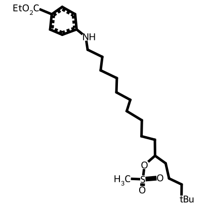 CCOC(=O)c1ccc(NCCCCCCCCCCC(CCCC(C)(C)C)OS(C)(=O)=O)cc1